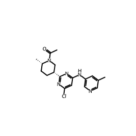 CC(=O)N1C[C@H](c2nc(Cl)cc(Nc3cncc(C)c3)n2)CC[C@@H]1C